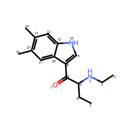 CCNC(CC)C(=O)c1c[nH]c2cc(C)c(C)cc12